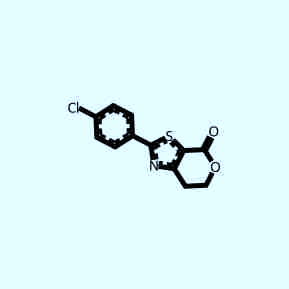 O=C1OCCc2nc(-c3ccc(Cl)cc3)sc21